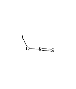 S=BOI